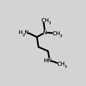 CNCCC(N)N(C)C